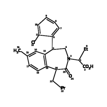 CCC(C(=O)O)N1CC(c2ccccc2Cl)c2cc(C)ccc2C(CC(C)C)C1=O